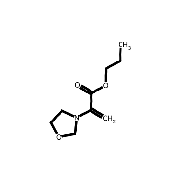 C=C(C(=O)OCCC)N1CCOC1